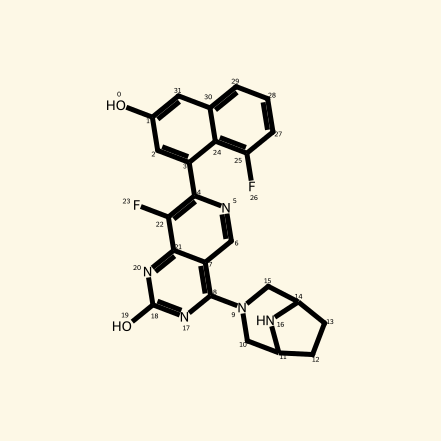 Oc1cc(-c2ncc3c(N4CC5CCC(C4)N5)nc(O)nc3c2F)c2c(F)cccc2c1